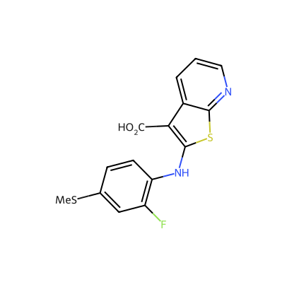 CSc1ccc(Nc2sc3ncccc3c2C(=O)O)c(F)c1